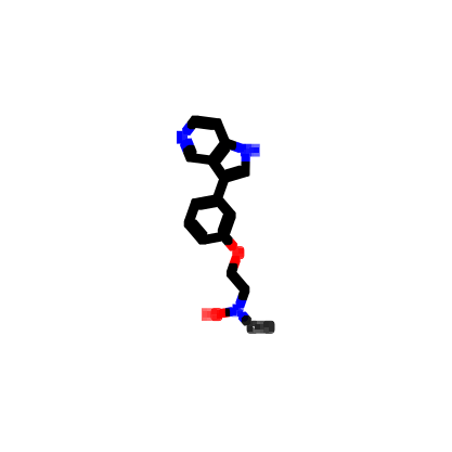 O=CN(O)CCOc1cccc(-c2c[nH]c3ccncc23)c1